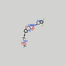 CN1C(=O)C(NC(=O)N/C=C(\C=N)Cc2ccc(F)cc2F)COc2ccc(C#CC(C)(C)CNC(=O)OC(C)(C)C)cc21